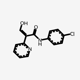 O=C(Nc1ccc(Cl)cc1)/C(=C\O)c1ccccn1